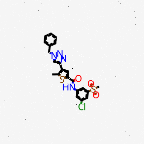 Cc1sc(C(=O)Nc2cc(Cl)cc(S(C)(=O)=O)c2)cc1-c1cn(Cc2ccccc2)nn1